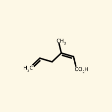 C=CC/C(C)=C\C(=O)O